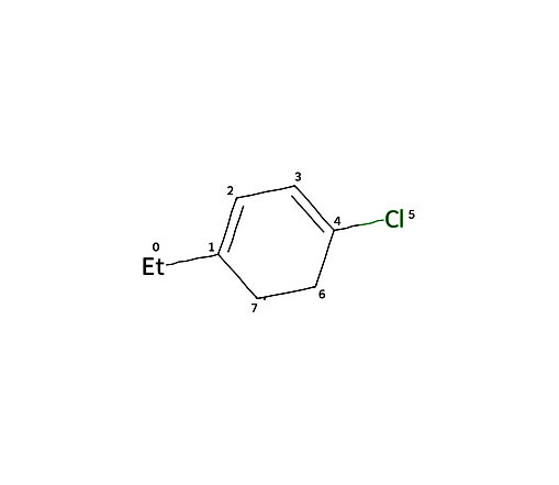 CCC1=CC=C(Cl)C[CH]1